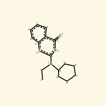 CCN(c1nc(=O)c2ccccc2s1)C1CCCCC1